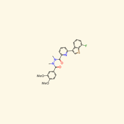 COc1ccc(C(=O)N(C)N(C)C(=O)c2cccc(-c3csc4c(F)cccc34)n2)cc1OC